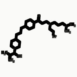 C=C(C)C(O)N1CCC(CCCC2CCC(C(=O)CCN(CCCN(C)C)CCC(C)C)CC2)CC1